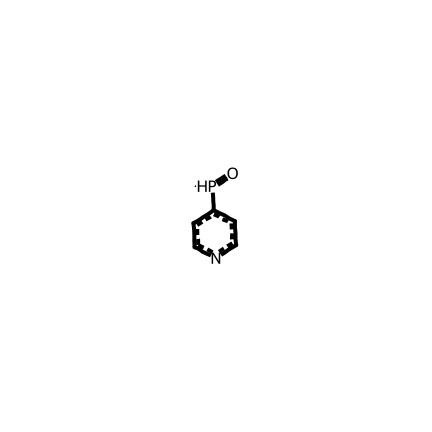 O=[PH]c1ccncc1